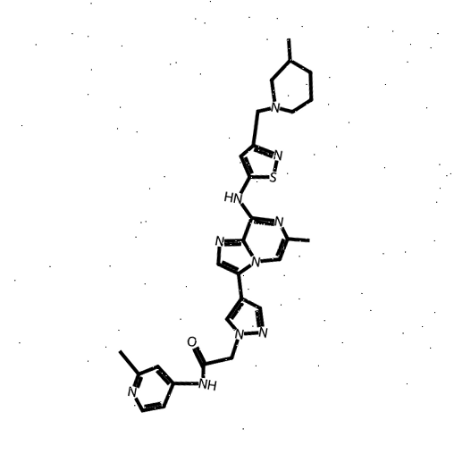 Cc1cc(NC(=O)Cn2cc(-c3cnc4c(Nc5cc(CN6CCCC(C)C6)ns5)nc(C)cn34)cn2)ccn1